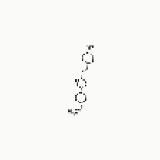 C=CC1CCC(C2CCC(CCC3CCC(CCC)CC3)OC2)CC1